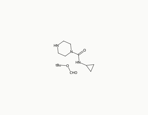 CC(C)(C)OC=O.O=C(NC1CC1)N1CCNCC1